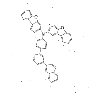 c1cc(-c2ccc(N(c3ccc4c(c3)oc3ccccc34)c3ccc4oc5ccccc5c4c3)cc2)cc(-c2ccc3ccccc3c2)c1